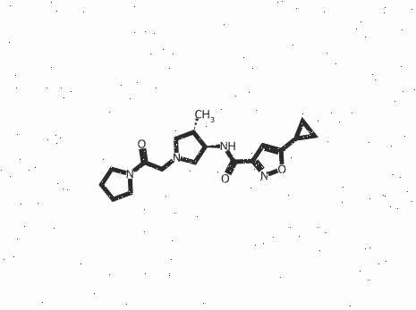 C[C@H]1CN(CC(=O)N2CCCC2)C[C@@H]1NC(=O)c1cc(C2CC2)on1